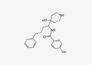 O=C(NC(CCCc1ccccc1)C1(O)CCNCC1)c1ccc(O)cc1